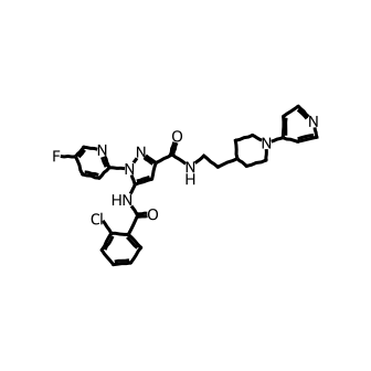 O=C(NCCC1CCN(c2ccncc2)CC1)c1cc(NC(=O)c2ccccc2Cl)n(-c2ccc(F)cn2)n1